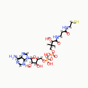 CC(C)(COP(=O)(O)OP(=O)(O)OCC1OC(n2cnc3c(N)ncnc32)C(O)C1O)C(O)C(=O)NCCC(=O)NCCS